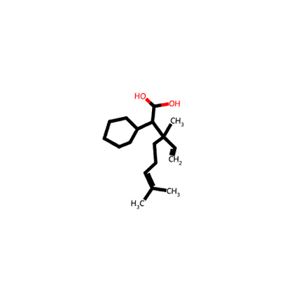 C=CC(C)(CCC=C(C)C)C(C(O)O)C1CCCCC1